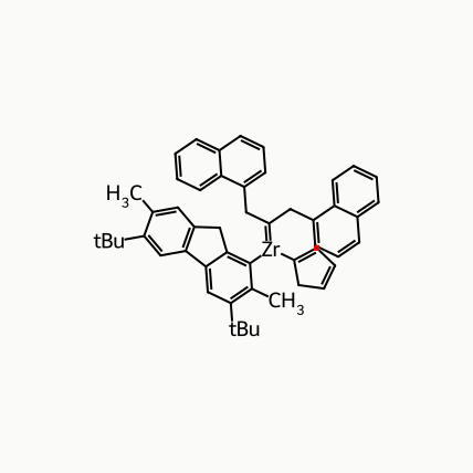 Cc1cc2c(cc1C(C)(C)C)-c1cc(C(C)(C)C)c(C)[c]([Zr]([C]3=CC=CC3)=[C](Cc3cccc4ccccc34)Cc3cccc4ccccc34)c1C2